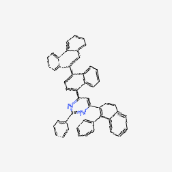 c1ccc(-c2nc(-c3ccc4ccccc4c3-c3ccccc3)cc(-c3ccc(-c4cc5ccccc5c5ccccc45)c4ccccc34)n2)cc1